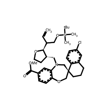 C=CC(CO[Si](C)(C)C(C)(C)C)[C@@H]1OCC[C@H]1CN1C[C@@]2(CCCc3cc(Cl)ccc32)COc2ccc(C(=O)OC)cc21